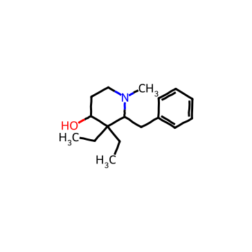 CCC1(CC)C(O)CCN(C)C1Cc1ccccc1